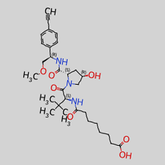 C#Cc1ccc([C@H](COC)NC(=O)[C@@H]2C[C@@H](O)CN2C(=O)[C@@H](NC(=O)CCCCCCC(=O)O)C(C)(C)C)cc1